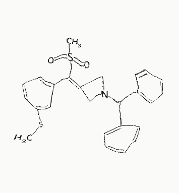 CSc1cccc(C(=C2CN(C(c3ccccc3)c3ccccc3)C2)S(C)(=O)=O)c1